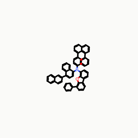 c1ccc(-c2cccc3c2oc2c(N(c4ccc(-c5cccc6cccc(-c7ccccc7)c56)cc4)c4ccc(-c5ccc6ccccc6c5)c5ccccc45)cccc23)cc1